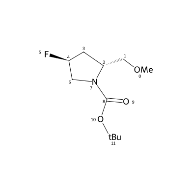 COC[C@H]1C[C@H](F)CN1C(=O)OC(C)(C)C